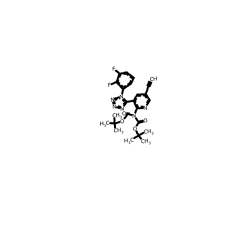 C#Cc1cnc(N(C(=O)OC(C)(C)C)C(=O)OC(C)(C)C)c(-c2nnnn2-c2cccc(F)c2F)c1